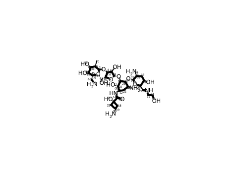 C[C@H]1[C@@H](O[C@H]2[C@@H](O)[C@H](O[C@@H]3[C@@H](O)[C@H](NC(=O)[C@]4(O)C[C@H](N)C4)C[C@H](N)[C@H]3O[C@H]3O[C@H](CNCCO)[C@@H](O)C[C@H]3N)O[C@@H]2CO)O[C@@H](CN)[C@@H](O)[C@@H]1O